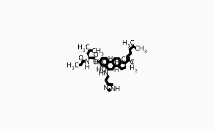 CCC(=O)N[C@@H](CC(C)C)C(=O)O[C@H]1CC[C@]2(C)[C@H]3CC[C@]4(C)[C@@H]([C@H](C)CCCC(C)C)CC[C@H]4[C@@H]3C[C@@H](NCCc3c[nH]cn3)[C@@]2(O)C1